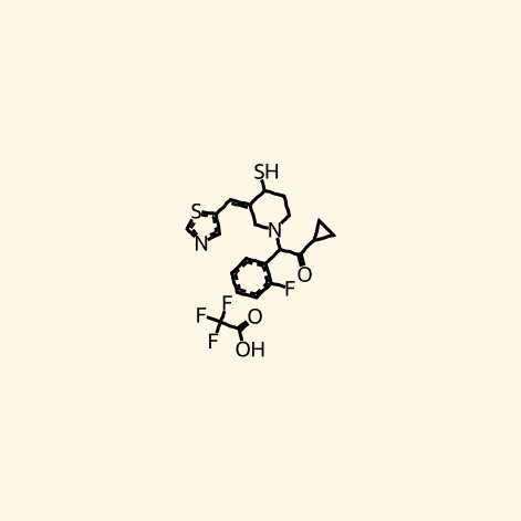 O=C(C1CC1)C(c1ccccc1F)N1CCC(S)C(=Cc2cncs2)C1.O=C(O)C(F)(F)F